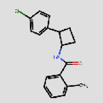 Cc1ccccc1C(=O)NC1CCC1c1ccc(Cl)cc1